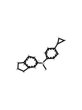 CN(c1ccc(C2CC2)cc1)c1ccc2c(c1)CCC2